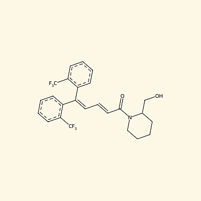 O=C(C=CC=C(c1ccccc1C(F)(F)F)c1ccccc1C(F)(F)F)N1CCCCC1CO